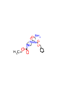 CCOC(=O)N1CCN(C(=O)[C@H](CC(N)=O)NC(=O)OCc2ccccc2)CC1